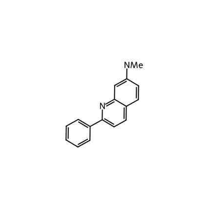 CNc1ccc2ccc(-c3ccccc3)nc2c1